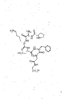 CC[C@H](C)[C@H](NC(=O)[C@@H]1CCCN1)C(=O)N[C@@H](CCCCN)C(=O)N[C@@H](CC(=O)O)C(=O)N[C@@H](Cc1ccccc1)C(=O)NCC(=O)NCC(=O)O